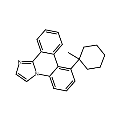 CC1(c2cccc3c2c2ccccc2c2nccn32)CCCCC1